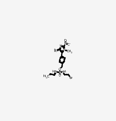 CCCNP(=O)(NCCBr)OCc1ccc(-c2c(Br)nc([N+](=O)[O-])n2C)cc1